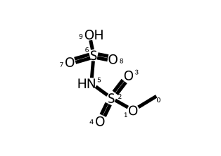 COS(=O)(=O)NS(=O)(=O)O